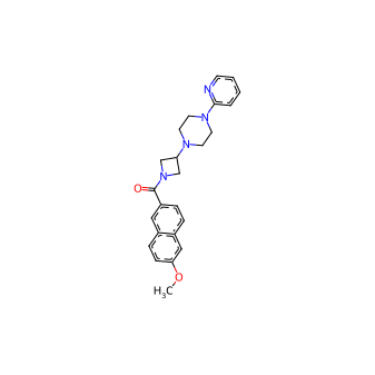 COc1ccc2cc(C(=O)N3CC(N4CCN(c5ccccn5)CC4)C3)ccc2c1